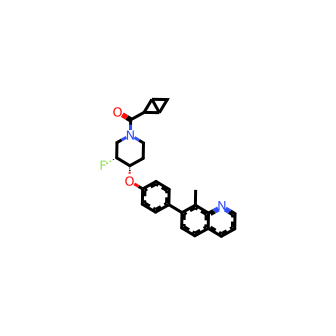 Cc1c(-c2ccc(O[C@H]3CCN(C(=O)C4C5CC54)C[C@H]3F)cc2)ccc2cccnc12